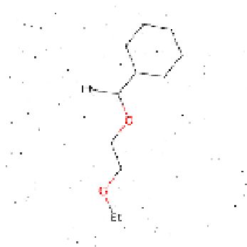 [CH2]CC(OCCOCC)C1CCCCC1